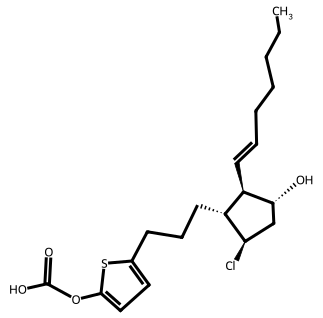 CCCCCC=C[C@@H]1[C@@H](CCCc2ccc(OC(=O)O)s2)[C@H](Cl)C[C@H]1O